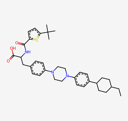 CCC1CCC(c2ccc(N3CCN(c4ccc(CC(NC(=O)c5ccc(C(C)(C)C)s5)C(=O)O)cc4)CC3)cc2)CC1